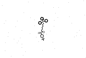 CC(C)(C)N1CCC(NC(=O)CCCCCC[PH](c2ccccc2)(c2ccccc2)c2ccccc2)CC1